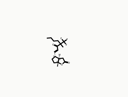 CCCCC(C)(C(=O)C=C[C@H]1CC[C@@]2(C)OC(=O)C[C@H]12)C(F)(F)F